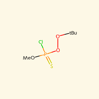 COP(=S)(Cl)OOC(C)(C)C